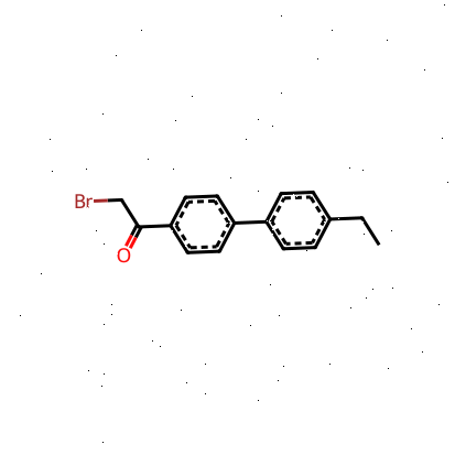 CCc1ccc(-c2ccc(C(=O)CBr)cc2)cc1